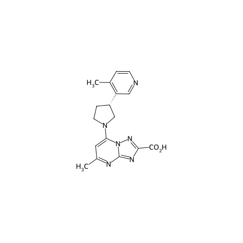 Cc1cc(N2CC[C@H](c3cnccc3C)C2)n2nc(C(=O)O)nc2n1